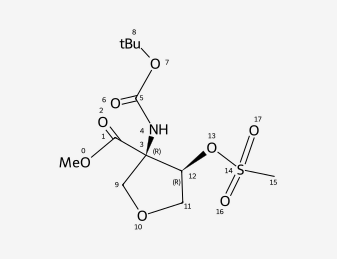 COC(=O)[C@@]1(NC(=O)OC(C)(C)C)COC[C@@H]1OS(C)(=O)=O